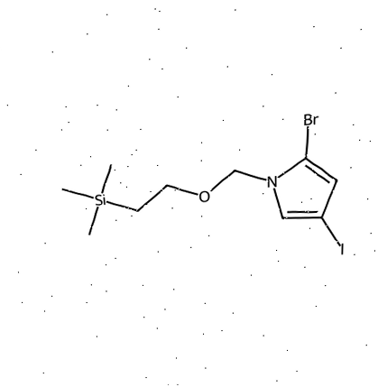 C[Si](C)(C)CCOCn1cc(I)cc1Br